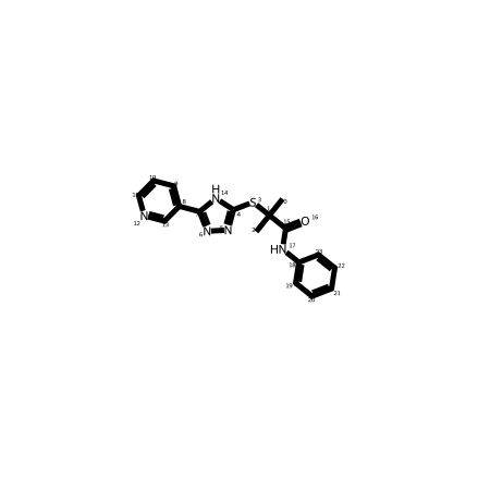 CC(C)(Sc1nnc(-c2cccnc2)[nH]1)C(=O)Nc1ccccc1